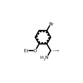 CCOc1ccc(Br)cc1[C@H](C)N